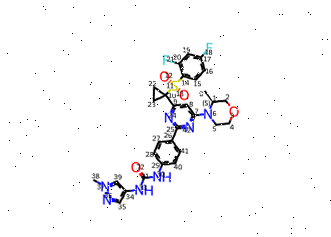 C[C@H]1COCCN1c1cc(C2(S(=O)(=O)c3ccc(F)cc3F)CC2)nc(-c2ccc(NC(=O)Nc3cnn(C)c3)cc2)n1